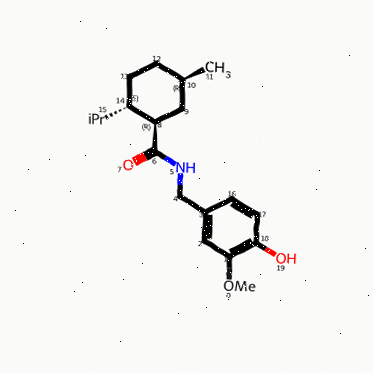 COc1cc(CNC(=O)[C@@H]2C[C@H](C)CC[C@H]2C(C)C)ccc1O